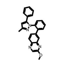 COc1cnc2ccc(-c3ccccc3-n3nc(C)cc3-c3ccccc3)cc2n1